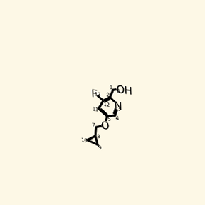 OCc1ncc(OCC2CC2)cc1F